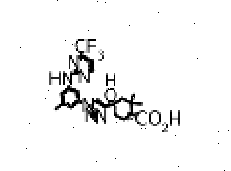 Cc1cc(Nc2nccc(C(F)(F)F)n2)cc(-n2cc([C@@]3(O)CC[C@H](C(=O)O)C(C)(C)C3)nn2)c1